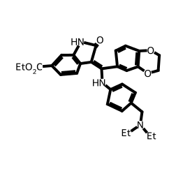 CCOC(=O)c1ccc2c(c1)NC(=O)C2=C(Nc1ccc(CN(CC)CC)cc1)c1ccc2c(c1)OCCO2